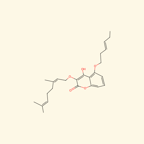 CCC=CCCOc1cccc2oc(=O)c(OCC=C(C)CCC=C(C)C)c(O)c12